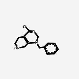 ClC1=NCN(Cc2ccccc2)C2=C1CCNC2